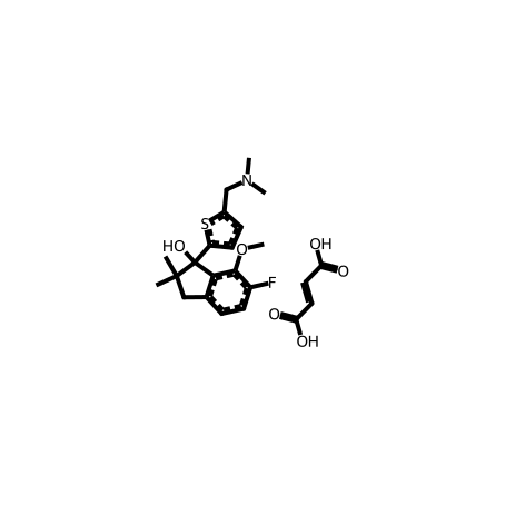 COc1c(F)ccc2c1C(O)(c1ccc(CN(C)C)s1)C(C)(C)C2.O=C(O)C=CC(=O)O